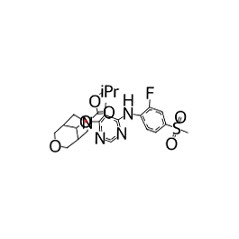 Cc1c(Nc2ccc(S(C)(=O)=O)cc2F)ncnc1OC1C2COCC1CN(C(=O)OC(C)C)C2